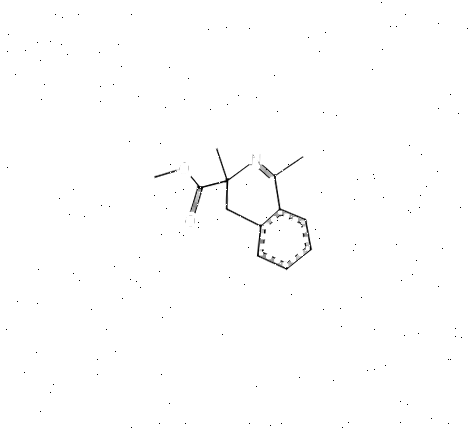 COC(=O)C1(C)Cc2ccccc2C(C)=N1